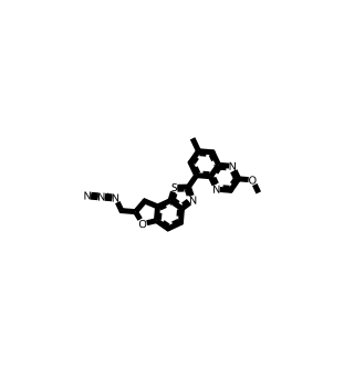 COc1cnc2c(-c3nc4ccc5c(c4s3)CC(CN=[N+]=[N-])O5)cc(C)cc2n1